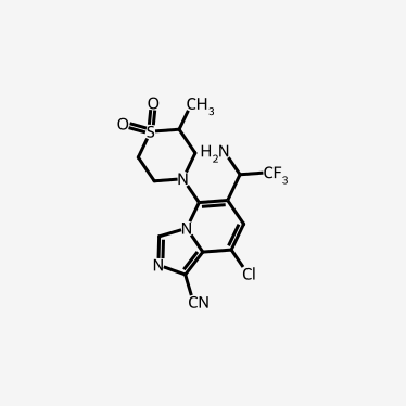 CC1CN(c2c(C(N)C(F)(F)F)cc(Cl)c3c(C#N)ncn23)CCS1(=O)=O